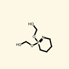 OCOP1(OCO)=NCCCC1